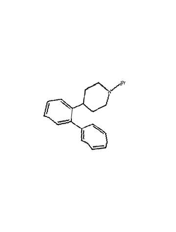 CC(C)N1CCC(c2ccccc2-c2ccccc2)CC1